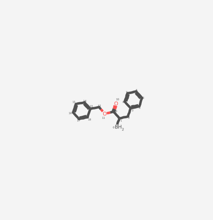 BC(Cc1ccccc1)C(=O)OCc1ccccc1